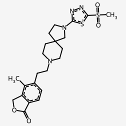 Cc1c(CCN2CCC3(CC2)CCN(c2nnc(S(C)(=O)=O)s2)C3)ccc2c1COC2=O